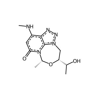 CNc1cc(=O)n2c3c1nnn3C[C@H](C(C)O)O[C@@H]2C